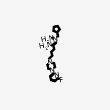 N/C(=C\N(N)CC1CCCC1)CCCCN1CCN(c2cccc(F)n2)CC1